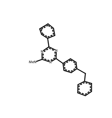 CNc1nc(-c2ccccc2)nc(-c2ccc(Cc3ccccc3)cc2)n1